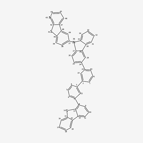 c1cc(-c2cccc(-c3cccc4c3sc3ccccc34)c2)cc(-c2ccc3c(c2)c2ccccc2n3-c2ccc3sc4ncccc4c3c2)c1